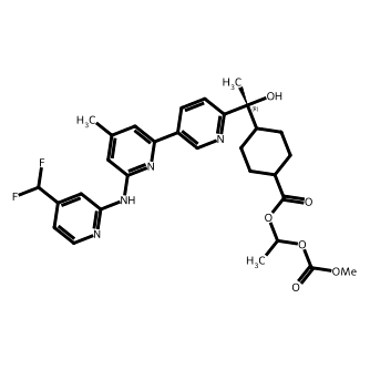 COC(=O)OC(C)OC(=O)C1CCC([C@@](C)(O)c2ccc(-c3cc(C)cc(Nc4cc(C(F)F)ccn4)n3)cn2)CC1